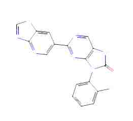 CC(C)c1ccccc1-n1c(=O)[nH]c2cnc(-c3cnc4nc[nH]c4c3)nc21